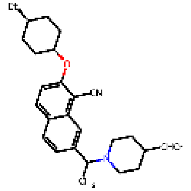 CC[C@H]1CC[C@@H](Oc2ccc3ccc(C(C)N4CCC([C]=O)CC4)cc3c2C#N)CC1